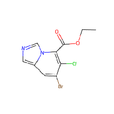 CCOC(=O)c1c(Cl)c(Br)cc2cncn12